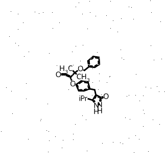 CC(C)c1[nH][nH]c(=O)c1Cc1ccc(OC(=C=O)C(C)(C)OCc2ccccc2)cc1